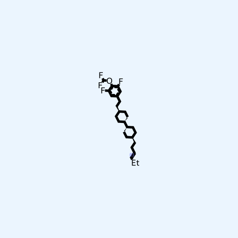 CC/C=C/CC[C@H]1CC[C@H]([C@H]2CC[C@H](CCc3cc(F)c(OC(F)F)c(F)c3)CC2)CC1